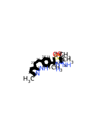 Cc1ccc2c(n1)Nc1cc([C@]3(C)CS(=O)(=O)C(C)(C)C(=N)N3)ccc1CC2